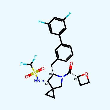 O=C([C@H]1CCO1)N1CC2(CC2)[C@H](NS(=O)(=O)C(F)F)[C@@H]1Cc1cccc(-c2cc(F)cc(F)c2)c1